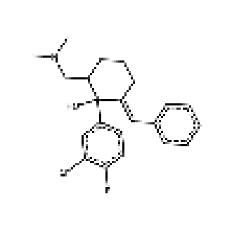 CN(C)CC1CCCC(=Cc2ccccc2)C1(O)c1ccc(F)c(Cl)c1